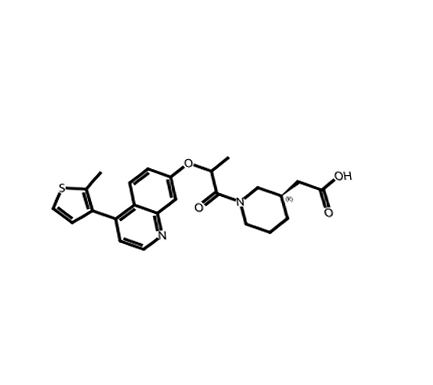 Cc1sccc1-c1ccnc2cc(OC(C)C(=O)N3CCC[C@H](CC(=O)O)C3)ccc12